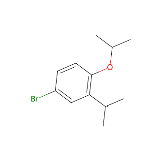 C[C](C)c1cc(Br)ccc1OC(C)C